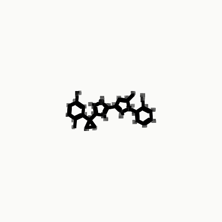 Cc1ccc(F)cc1C1(c2noc(-c3cc(C)n(-c4ccccc4F)n3)n2)CC1